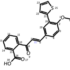 COc1ccc(/C=C/C(=O)c2ccccc2C(=O)O)cc1-c1cccs1